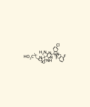 CC(C)(Cc1csc(C2(C)C(=O)Nc3nc(-c4nn(Cc5c(F)cccc5F)c5cc(Cl)ccc45)nc(N)c32)n1)C(=O)O